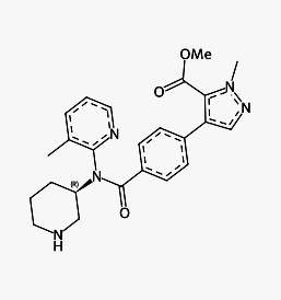 COC(=O)c1c(-c2ccc(C(=O)N(c3ncccc3C)[C@@H]3CCCNC3)cc2)cnn1C